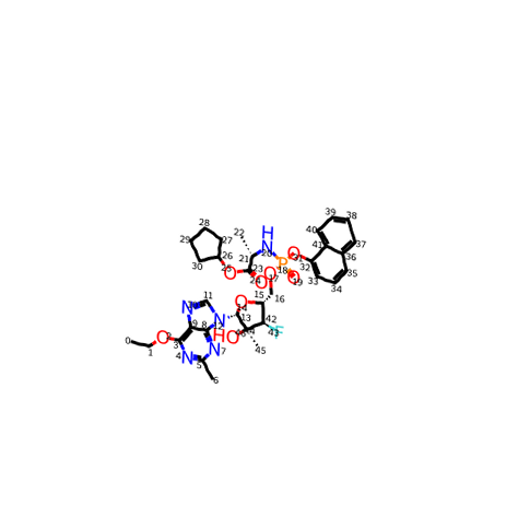 CCOc1nc(C)nc2c1ncn2[C@@H]1O[C@H](COP(=O)(N[C@@H](C)C(=O)OC2CCCC2)Oc2cccc3ccccc23)[C@@H](F)[C@@]1(C)O